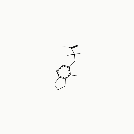 CCc1c(CC(C)(C)C(=O)OC)ccc2c1OCO2